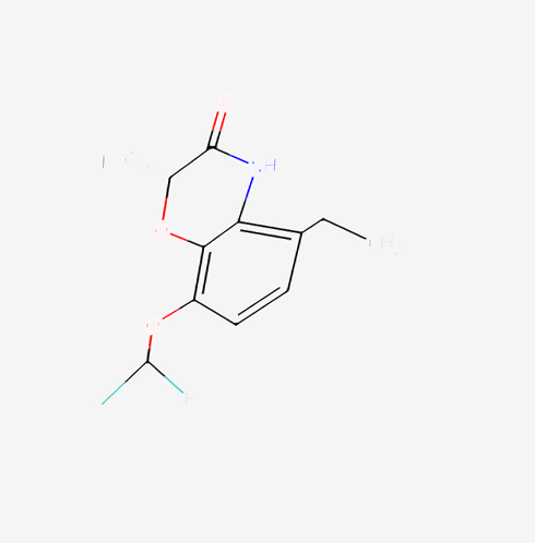 [CH2]Cc1ccc(OC(F)F)c2c1NC(=O)[C@@H](C)O2